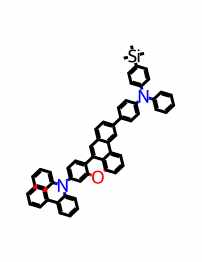 C[Si](C)(C)c1ccc(N(c2ccccc2)c2ccc(-c3ccc4cc5c6c(cccc6c4c3)Oc3cc(N(c4ccccc4)c4ccccc4-c4ccccc4)ccc3-5)cc2)cc1